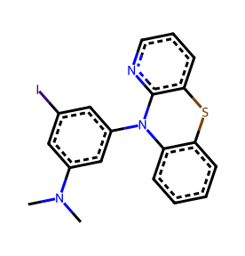 CN(C)c1cc(I)cc(N2c3ccccc3Sc3cccnc32)c1